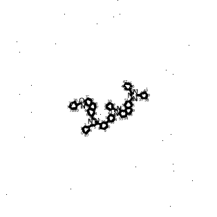 c1ccc(-c2cc(-c3cccc(-c4ccc(-n5c(-c6ccccc6)nc6c7c(ccc8cc(-c9nc(-c%10ccccc%10)nc(-c%10ccccc%10)n9)ccc87)ccc65)cc4)c3)nc(-c3ccc4c(ccc5ccc6oc(-c7ccccc7)nc6c54)c3)n2)cc1